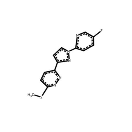 CSc1ccc(-c2ccn(-c3ccc(F)cn3)n2)nn1